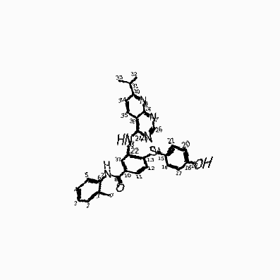 Cc1ccccc1NC(=O)c1ccc(Sc2ccc(O)cc2)c(Nc2ncnc3nc(C(C)C)ccc23)c1